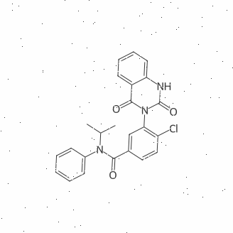 CC(C)N(C(=O)c1ccc(Cl)c(-n2c(=O)[nH]c3ccccc3c2=O)c1)c1ccccc1